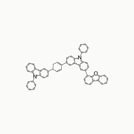 C1=CC(c2ccc3c(c2)c2ccccc2n3-c2ccccc2)CC=C1c1ccc2c(c1)c1cc(-c3cccc4c3oc3ccccc34)ccc1n2-c1ccccc1